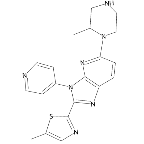 Cc1cnc(-c2nc3ccc(N4CCNCC4C)nc3n2-c2ccncc2)s1